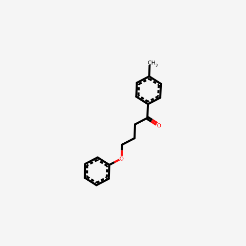 Cc1ccc(C(=O)CCCOc2ccccc2)cc1